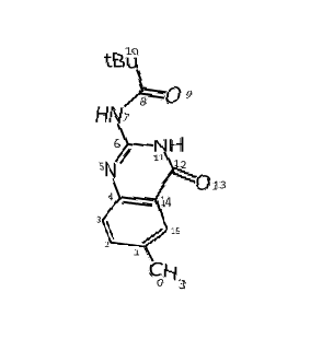 Cc1ccc2nc(NC(=O)C(C)(C)C)[nH]c(=O)c2c1